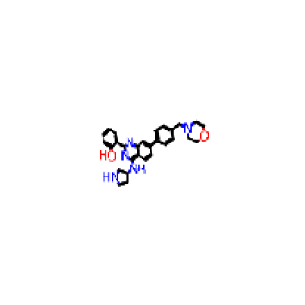 Oc1ccccc1-c1nc(NC2CCNC2)c2ccc(-c3ccc(CN4CCOCC4)cc3)cc2n1